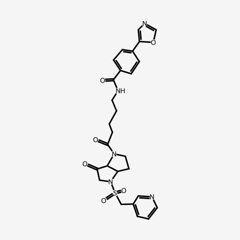 O=C(NCCCCC(=O)N1CCC2C1C(=O)CN2S(=O)(=O)Cc1cccnc1)c1ccc(-c2cnco2)cc1